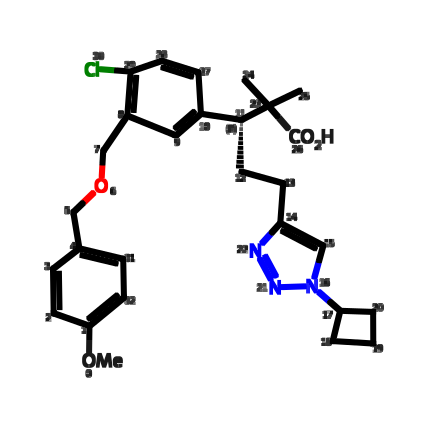 COc1ccc(COCc2cc([C@@H](CCc3cn(C4CCC4)nn3)C(C)(C)C(=O)O)ccc2Cl)cc1